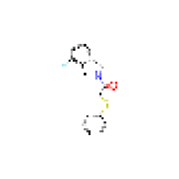 O=C(CSc1ccccc1)N1Cc2cccc(F)c2C1